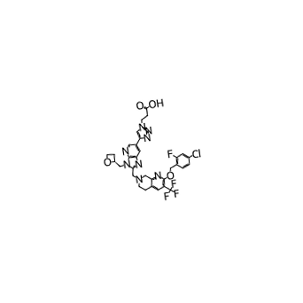 O=C(O)CCn1cc(-c2cnc3c(c2)nc(CN2CCc4cc(C(F)(F)F)c(OCc5ccc(Cl)cc5F)nc4C2)n3C[C@@H]2CCO2)nn1